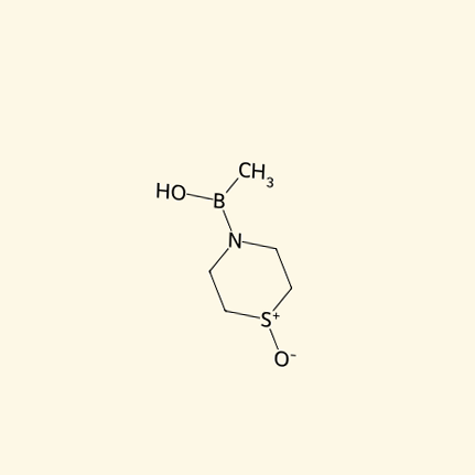 CB(O)N1CC[S+]([O-])CC1